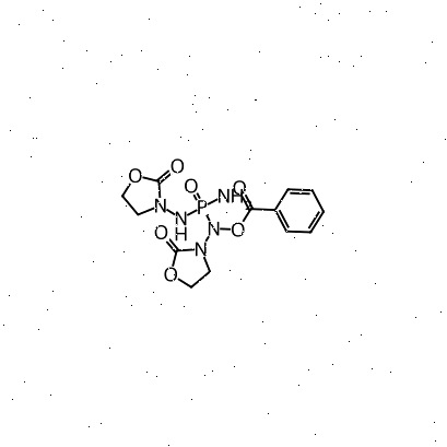 NP(=O)(NN1CCOC1=O)N(OC(=O)c1ccccc1)N1CCOC1=O